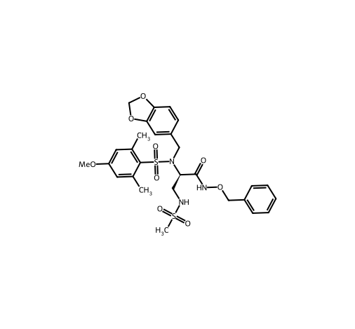 COc1cc(C)c(S(=O)(=O)N(Cc2ccc3c(c2)OCO3)[C@H](CNS(C)(=O)=O)C(=O)NOCc2ccccc2)c(C)c1